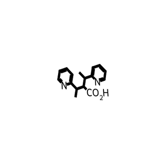 CC(c1ccccn1)C(C(=O)O)C(C)c1ccccn1